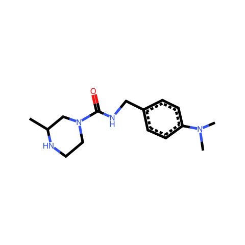 CC1CN(C(=O)NCc2ccc(N(C)C)cc2)CCN1